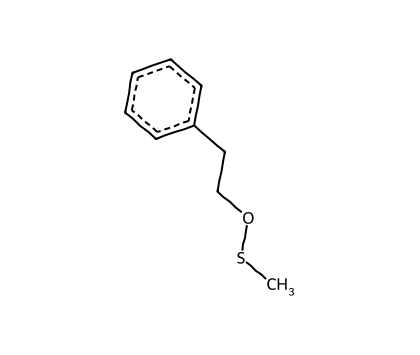 CSOCCc1ccccc1